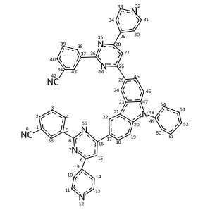 N#Cc1cccc(-c2nc(-c3ccncc3)cc(-c3ccc4c(c3)c3cc(-c5cc(-c6ccncc6)nc(-c6cccc(C#N)c6)n5)ccc3n4-c3ccccc3)n2)c1